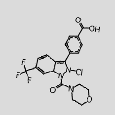 O=C(O)c1ccc(C2=C3C=CC(C(F)(F)F)=CC3N(C(=O)N3CCOCC3)N2Cl)cc1